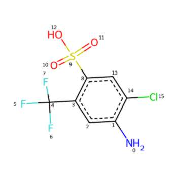 Nc1cc(C(F)(F)F)c(S(=O)(=O)O)cc1Cl